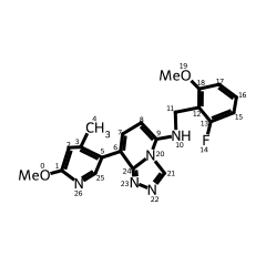 COc1cc(C)c(-c2ccc(NCc3c(F)cccc3OC)n3cnnc23)cn1